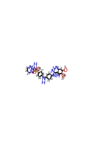 COc1cc2ncnc(Nc3ccc(Nc4ccc(S(=O)(=O)Nc5ncccn5)cc4)cc3)c2cc1OC